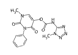 Cn1nnnc1NC(=O)Oc1cn(C)c(=O)n(-c2ccccc2)c1=O